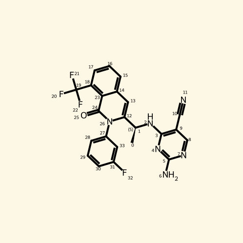 C[C@H](Nc1nc(N)ncc1C#N)c1cc2cccc(C(F)(F)F)c2c(=O)n1-c1cccc(F)c1